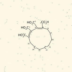 O=C(O)C1=C(C(=O)O)C(C(=O)O)=C(C(=O)O)CCCCCCCC1